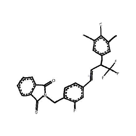 Cc1cc(C(/C=C/c2ccc(CN3C(=O)c4ccccc4C3=O)c(F)c2)C(F)(F)F)cc(C)c1Cl